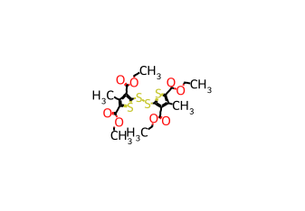 CCOC(=O)c1sc(SSc2sc(C(=O)OCC)c(C)c2C(=O)OCC)c(C(=O)OCC)c1C